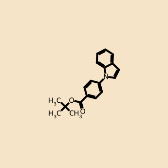 CC(C)(C)OC(=O)c1ccc(-n2ccc3ccccc32)cc1